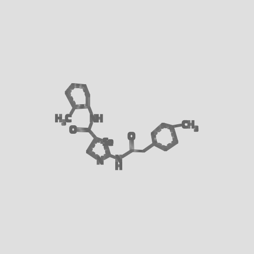 Cc1ccc(CC(=O)Nc2ncc(C(=O)Nc3ccccc3C)[se]2)cc1